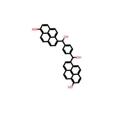 Oc1ccc2ccc3c(C(O)c4ccc(C(O)c5ccc6ccc7c(O)ccc8ccc5c6c87)cc4)ccc4ccc1c2c43